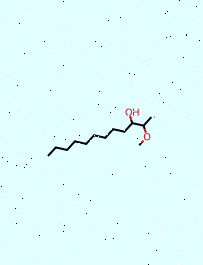 [CH2]C(OC)C(O)CCCCCCCCC